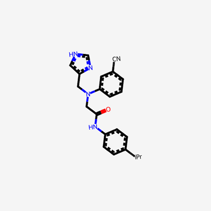 CC(C)c1ccc(NC(=O)CN(Cc2c[nH]cn2)c2cccc(C#N)c2)cc1